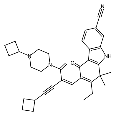 C=C(/C(C#CC1CCC1)=C\C1=C(CC)C(C)(C)c2[nH]c3cc(C#N)ccc3c2C1=O)N1CCN(C2CCC2)CC1